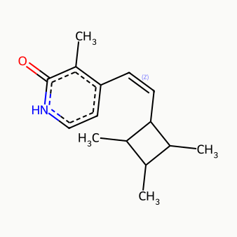 Cc1c(/C=C\C2C(C)C(C)C2C)cc[nH]c1=O